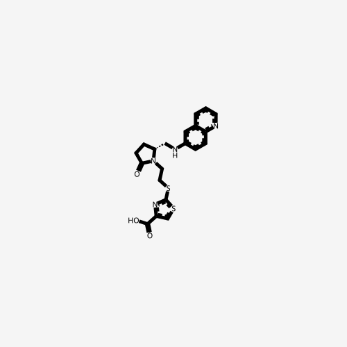 O=C(O)c1csc(SCCN2C(=O)CC[C@@H]2CNc2ccc3ncccc3c2)n1